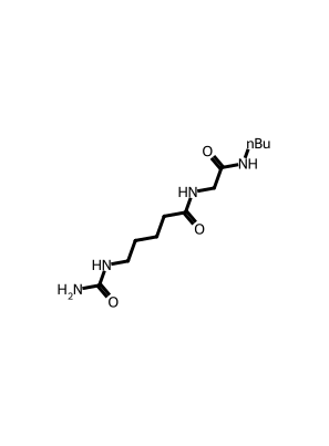 CCCCNC(=O)CNC(=O)CCCCNC(N)=O